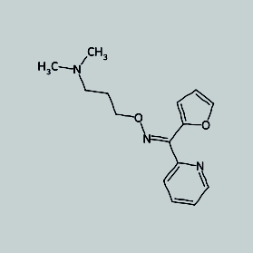 CN(C)CCCON=C(c1ccccn1)c1ccco1